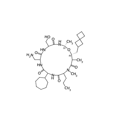 CCCC1C(=O)NC(C2CCCCCC2)C(=O)NC(CN)C(=O)NC(CO)C(=O)N[C@H](C)O[C@H](CC2CC3(CCC3)C2)C(C)C(=O)N1C